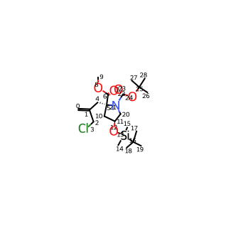 C=C(CCl)C[C@@]1(C(=O)OC)C[C@H](O[Si](C)(C)C(C)(C)C)CN1C(=O)OC(C)(C)C